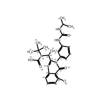 CC(C)NC(=O)Nc1cccc(-n2c([C@H](C)N(C(=O)O)C(C)(C)C)nc3cccc(Cl)c3c2=O)c1